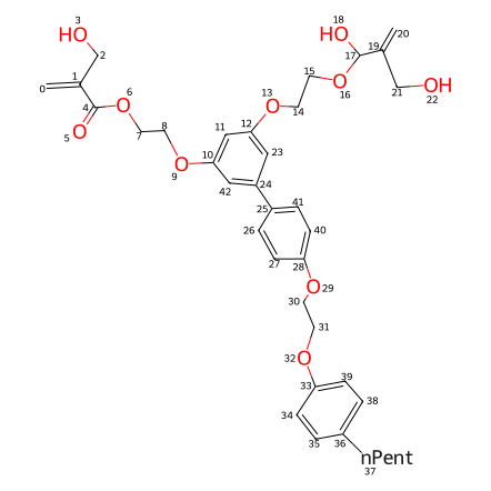 C=C(CO)C(=O)OCCOc1cc(OCCOC(O)C(=C)CO)cc(-c2ccc(OCCOc3ccc(CCCCC)cc3)cc2)c1